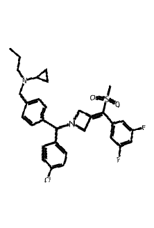 CCCN(Cc1ccc(C(c2ccc(Cl)cc2)N2CC(=C(c3cc(F)cc(F)c3)S(C)(=O)=O)C2)cc1)C1CC1